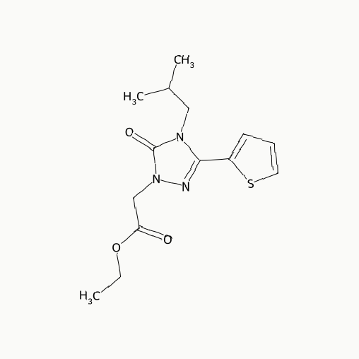 CCOC(=O)Cn1nc(-c2cccs2)n(CC(C)C)c1=O